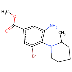 COC(=O)c1cc(N)c(N2CCCCC2C)c(Br)c1